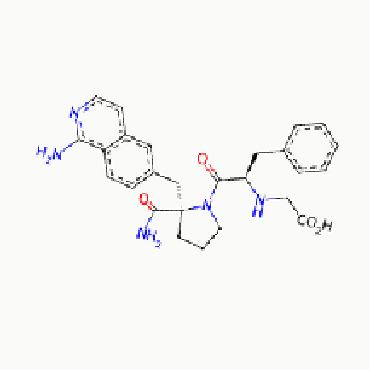 NC(=O)[C@]1(Cc2ccc3c(N)nccc3c2)CCCN1C(=O)[C@@H](Cc1ccccc1)NCC(=O)O